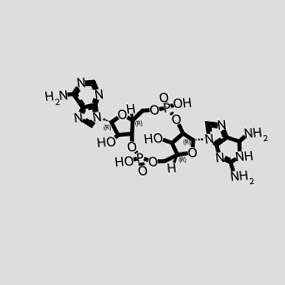 NC1=Nc2c(ncn2[C@@H]2O[C@@H]3COP(=O)(O)OC4C(O)[C@H](n5cnc6c(N)ncnc65)O[C@@H]4COP(=O)(O)OC2C3O)C(N)N1